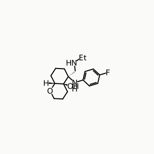 CCNC[C@@]1(Nc2ccc(F)cc2)CCC[C@H]2OCCC[C@]21O